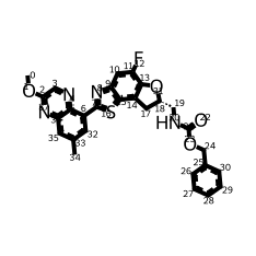 COc1cnc2c(-c3nc4cc(F)c5c(c4s3)C[C@@H](CNC(=O)OCc3ccccc3)O5)cc(C)cc2n1